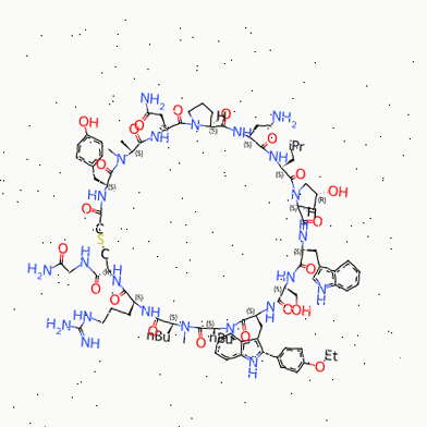 CCCC[C@H]1C(=O)N(C)[C@@H](CCCC)C(=O)N[C@@H](CCCNC(=N)N)C(=O)N[C@H](C(=O)NCC(N)=O)CSCC(=O)N[C@@H](Cc2ccc(O)cc2)C(=O)N(C)[C@@H](C)C(=O)N[C@@H](CC(N)=O)C(=O)N2CCC[C@H]2C(=O)N[C@@H](CCN)C(=O)N[C@@H](CC(C)C)C(=O)N2C[C@H](O)C[C@H]2C(=O)N[C@@H](Cc2c[nH]c3ccccc23)C(=O)N[C@@H](CO)C(=O)N[C@@H](Cc2c(-c3ccc(OCC)cc3)[nH]c3ccccc23)C(=O)N1C